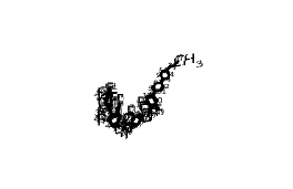 CCCC1CCC(C2CCC(c3cc(F)c(C(F)(F)Oc4cc(F)c(C(F)(F)Oc5cc(F)c(C(F)(F)OC(F)(F)F)c(F)c5)c(F)c4)c(F)c3)CC2)CC1